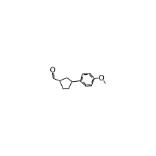 COc1ccc(C2CCC(C=O)C2)cc1